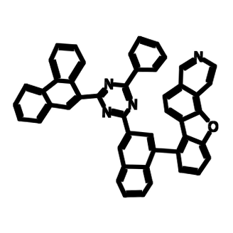 c1ccc(-c2nc(-c3cc(-c4cccc5oc6c7ccncc7ccc6c45)c4ccccc4c3)nc(-c3cc4ccccc4c4ccccc34)n2)cc1